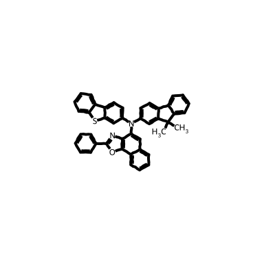 CC1(C)c2ccccc2-c2ccc(N(c3ccc4c(c3)sc3ccccc34)c3cc4ccccc4c4oc(-c5ccccc5)nc34)cc21